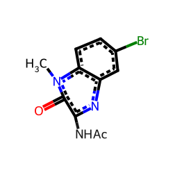 CC(=O)Nc1nc2cc(Br)ccc2n(C)c1=O